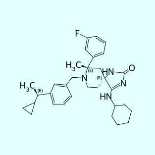 C[C@@H](c1cccc(CN2CC[C@]3(C[C@@]2(C)c2cccc(F)c2)NC(=O)N=C3NC2CCCCC2)c1)C1CC1